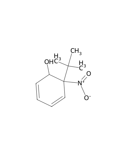 CC(C)(C)C1([N+](=O)[O-])C=CC=CC1O